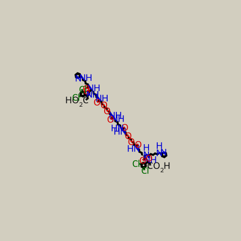 O=C(O)CC(NC(=O)[C@H](CCCCNC(=O)CCOCCOCCNC(=O)NCCCCNC(=O)NCCOCCOCCC(=O)NCCCC[C@H](NC(=O)CCCCNc1ccccn1)C(=O)NC(CC(=O)O)c1cc(Cl)cc(Cl)c1)NC(=O)CCCCNc1ccccn1)c1cc(Cl)cc(Cl)c1